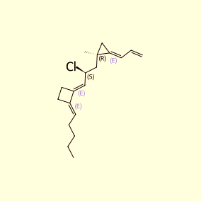 C=C/C=C1\C[C@]1(C)C[C@H](Cl)/C=C1\CC\C1=C/CCCC